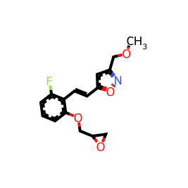 COCc1cc(/C=C/c2c(F)cccc2OCC2CO2)on1